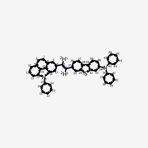 [2H]/C(=C(/[2H])c1cc2ccc3cccc4c3c2c(c1)n4-c1ccccc1)c1ccc2c(c1)sc1cc(N(c3ccccc3)c3ccccc3)ccc12